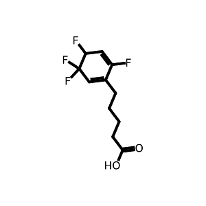 O=C(O)CCCCC1=CC(F)(F)C(F)C=C1F